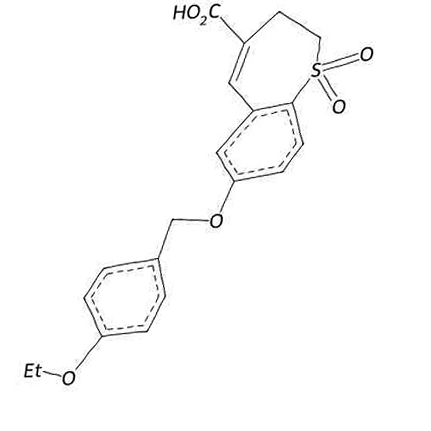 CCOc1ccc(COc2ccc3c(c2)C=C(C(=O)O)CCS3(=O)=O)cc1